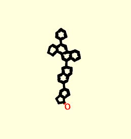 O=C1CCc2cc(-c3ccc4cc(-c5cc6c7c(c(-c8ccccc8)cc6c6ccccc56)=CCCC=7)ccc4c3)ccc21